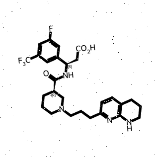 O=C(O)C[C@@H](NC(=O)[C@@H]1CCCN(CCCc2ccc3c(n2)NCCC3)C1)c1cc(F)cc(C(F)(F)F)c1